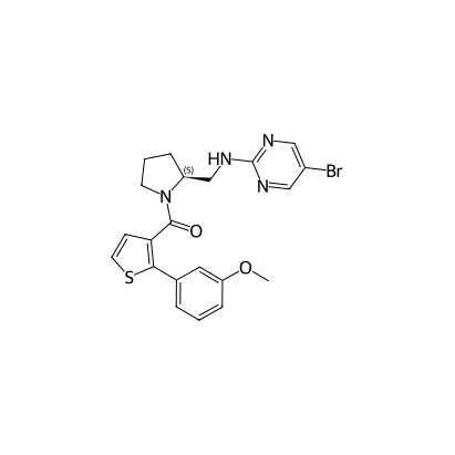 COc1cccc(-c2sccc2C(=O)N2CCC[C@H]2CNc2ncc(Br)cn2)c1